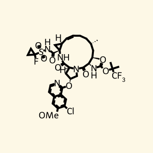 COc1cc2ccnc(O[C@@H]3C[C@H]4C(=O)N[C@]5(C(=O)NS(=O)(=O)C6(F)CC6)C[C@H]5/C=C\CC[C@H](C)C[C@@H](C)[C@H](NC(=O)OC(C)(C)C(F)(F)F)C(=O)N4C3)c2cc1Cl